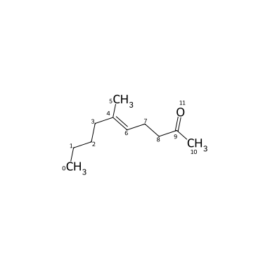 CCCCC(C)=CCCC(C)=O